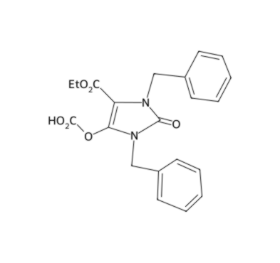 CCOC(=O)c1c(OC(=O)O)n(Cc2ccccc2)c(=O)n1Cc1ccccc1